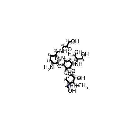 CN[C@H]1/C(=C\O)CO[C@H](O[C@H]2[C@H](NC(CO)CO)C[C@H](N)C(O[C@H]3OC(CNCC(O)CO)=CC[C@H]3N)[C@@H]2O)[C@@H]1O